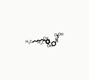 CCCCCCCC(C)(C)c1ccc([C@H]2CCC/C(=N/OCC(=O)O)C2)c(O)c1